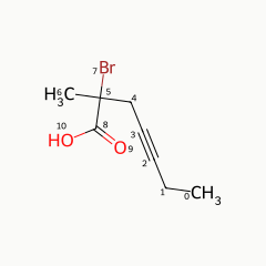 CCC#CCC(C)(Br)C(=O)O